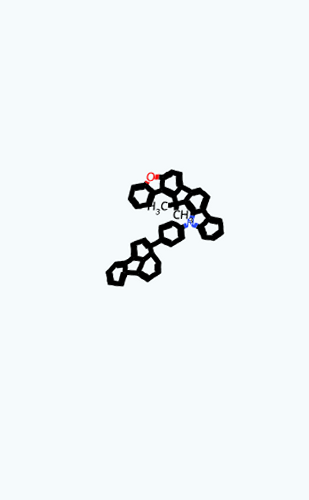 CC1(C)c2c(ccc3oc4ccccc4c23)-c2ccc3c4ccccc4n(-c4ccc(C5=CC=C6c7ccccc7C7=CC=CC5C76)cc4)c3c21